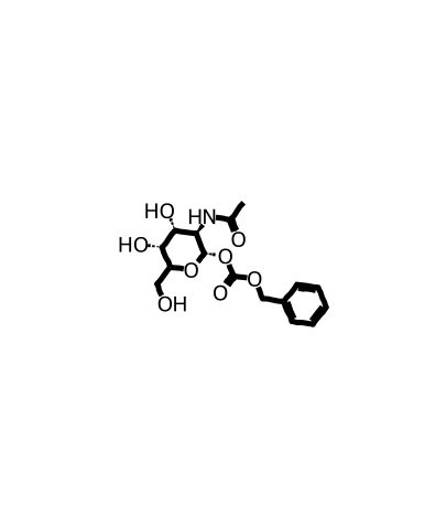 CC(=O)N[C@H]1[C@H](OC(=O)OCc2ccccc2)OC(CO)[C@H](O)[C@@H]1O